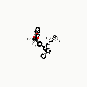 CC(C)(C)OC(=O)N1CC2CCC(C1)N2c1ncc(Nc2ccc(-c3cc4c(N5CCOCC5)ncnc4n3COCC[Si](C)(C)C)cc2)cn1